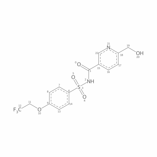 O=C(NS(=O)(=O)c1ccc(OCC(F)(F)F)cc1)c1ccc(CO)nc1